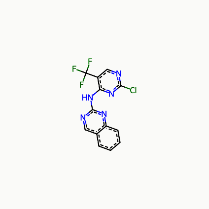 FC(F)(F)c1cnc(Cl)nc1Nc1ncc2ccccc2n1